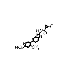 Cc1cc(CO)ncc1-c1ccc2nc(NC(=O)C3C[C@@H]3F)sc2c1